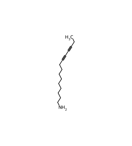 CCC#CC#CCCCCCCCCCN